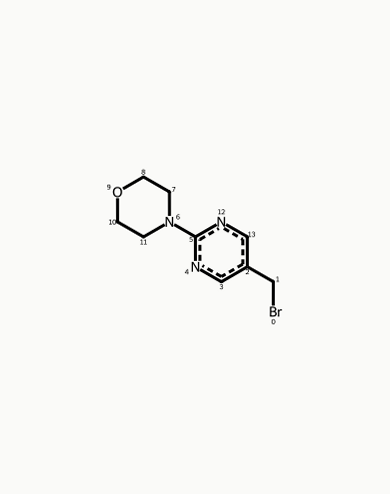 BrCc1cnc(N2CCOCC2)nc1